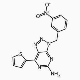 Nc1nc(-c2cccs2)c2nnn(Cc3cccc([N+](=O)[O-])c3)c2n1